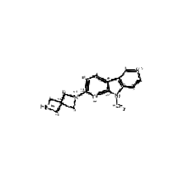 Cn1c2ccncc2c2ccc(N3CC4(CNC4)C3)nc21